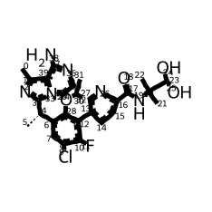 Cc1nc([C@@H](C)c2cc(Cl)c(F)c(-c3ccc(C(=O)NC(C)(C)C(O)O)nc3)c2OC(C)C)n2ccnc(N)c12